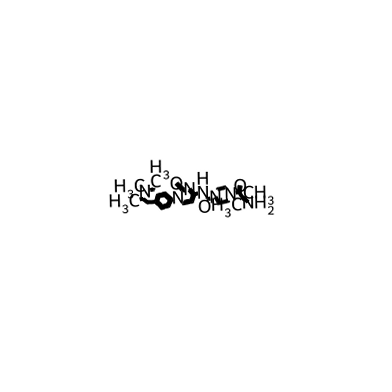 CCN(C)C(C)Cc1ccc(-n2ccc(NC(=O)N3CCN(C(=O)C(C)(C)N)CC3)nc2=O)cc1